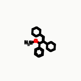 [SiH3]OC(C(=CC1CCCCC1)C1CCCCC1)c1ccccc1